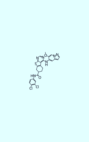 COc1cn2nccc2cc1Nc1ncnc2sc3c(c12)CCC(C(=O)Nc1ccc(Cl)c(Cl)c1)C3